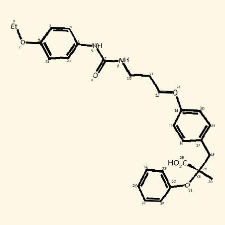 CCOc1ccc(NC(=O)NCCCOc2ccc(C[C@](C)(Oc3ccccc3)C(=O)O)cc2)cc1